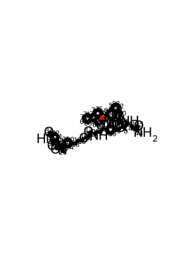 C[C@@H](OCc1ccc(CCCNC(=O)COCCCc2ccc3c(c2)n(C)c(=O)n3C2CCC(=O)NC2=O)cc1)[C@H](CCC(N)=O)NC(=O)[C@@H]1Cc2cccc3c2N1C(=O)[C@@H](NC(=O)OCC1c2ccccc2-c2ccccc21)CC3